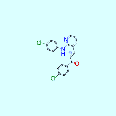 O=C(/C=C/c1cccnc1Nc1ccc(Cl)cc1)c1ccc(Cl)cc1